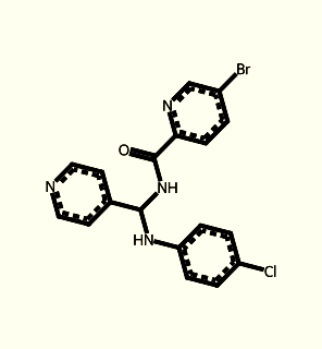 O=C(NC(Nc1ccc(Cl)cc1)c1ccncc1)c1ccc(Br)cn1